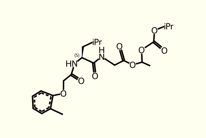 Cc1ccccc1OCC(=O)N[C@@H](CC(C)C)C(=O)NCC(=O)OC(C)OC(=O)OC(C)C